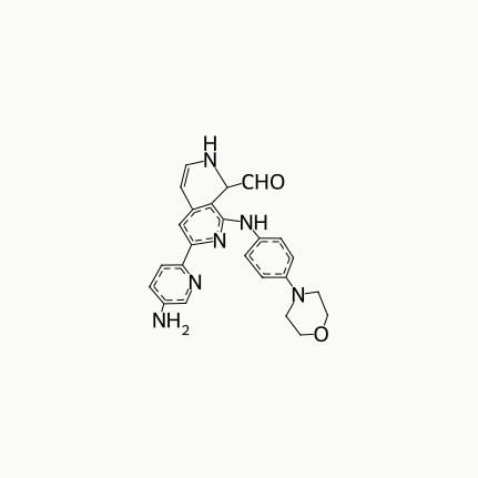 Nc1ccc(-c2cc3c(c(Nc4ccc(N5CCOCC5)cc4)n2)C(C=O)NC=C3)nc1